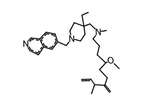 C=CC(C)C(=C)CCC(CCCN(C)CC1(CC)CCN(Cc2ccc3cnccc3c2)CC1)OC